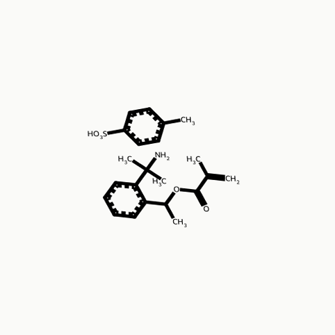 C=C(C)C(=O)OC(C)c1ccccc1C(C)(C)N.Cc1ccc(S(=O)(=O)O)cc1